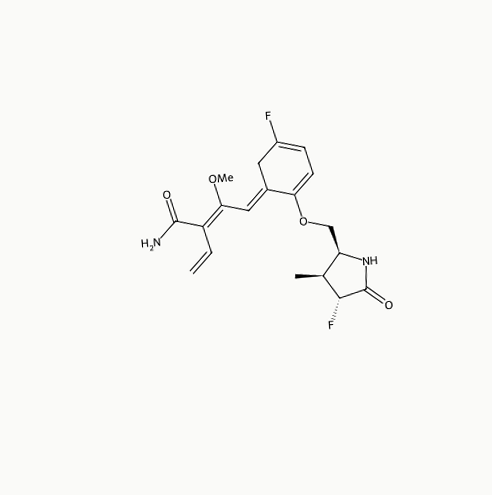 C=C/C(C(N)=O)=C(\C=C1/CC(F)=CC=C1OC[C@H]1NC(=O)[C@H](F)[C@H]1C)OC